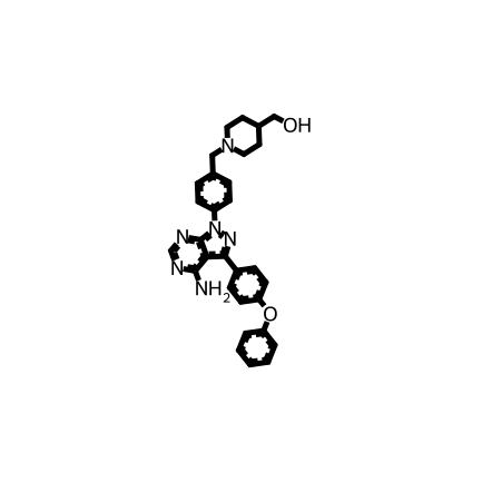 Nc1ncnc2c1c(-c1ccc(Oc3ccccc3)cc1)nn2-c1ccc(CN2CCC(CO)CC2)cc1